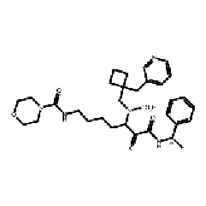 C[C@@H](NC(=O)C(=O)C(CCCCNC(=O)N1CCOCC1)N(CC1(Cc2cccnc2)CCC1)C(=O)O)c1ccccc1